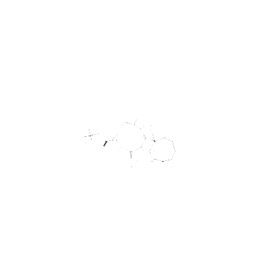 CC1CCN(C(=O)OC(C)(C)C)CC(C)CC(C2(C)CCCCCCC2)C1